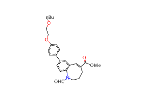 CCCCOCCOc1ccc(-c2ccc3c(c2)/C=C(/C(=O)OC)CCCN3C=O)cc1